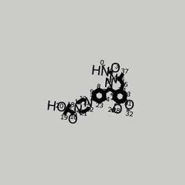 CNC(=O)N1N=C(c2ccc(N3CCN(C(=O)C(C)(C)O)CC3)cc2)c2cc(OC)c(OC)cc2CC1C